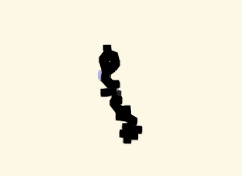 CC(/C=C1\c2ccc(C)cc21)=C(/C)SCC1CC(CS(C)(C)C(C)(C)C)C1